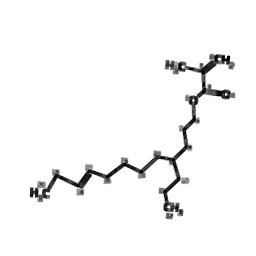 C=C(C)C(=O)OCCCC(CCC)CCCCC=CCC